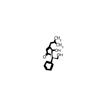 CC(C)CC1=CC(=O)N([C@@H](CO)c2ccccc2)C1O